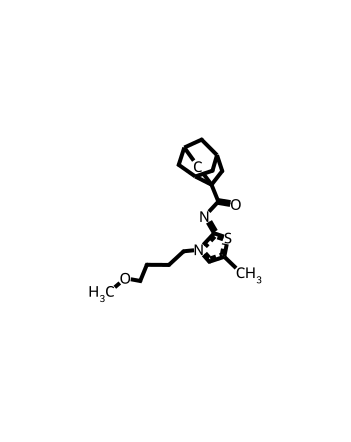 COCCCCn1cc(C)sc1=NC(=O)C12CC3CC(CC1C3)C2